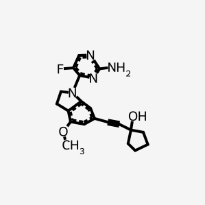 COc1cc(C#CC2(O)CCCC2)cc2c1CCN2c1nc(N)ncc1F